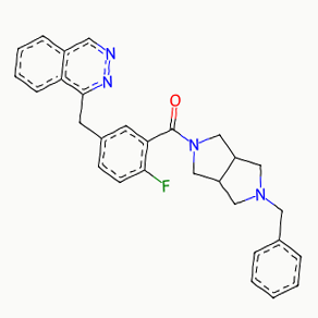 O=C(c1cc(Cc2nncc3ccccc23)ccc1F)N1CC2CN(Cc3ccccc3)CC2C1